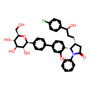 O=C1C[C@@H](CC[C@H](O)c2ccc(F)cc2)[C@@H](c2ccc(-c3ccc([C@@H]4O[C@H](CO)[C@@H](O)[C@H](O)[C@H]4O)cc3)cc2O)N1c1ccccc1